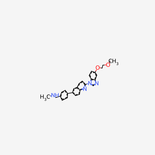 CNCc1ccc(-c2ccc3nc(-n4cnc5cc(OCCOC)ccc54)ccc3c2)cc1